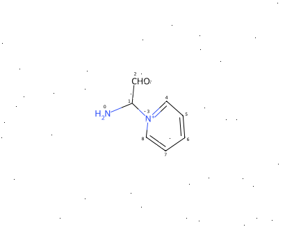 NC([C]=O)[n+]1ccccc1